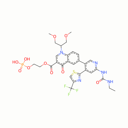 CCNC(=O)Nc1cc(-c2nc(C(F)(F)F)cs2)c(-c2ccc3c(c2)c(=O)c(C(=O)OCCOP(=O)(O)O)cn3C(COC)COC)cn1